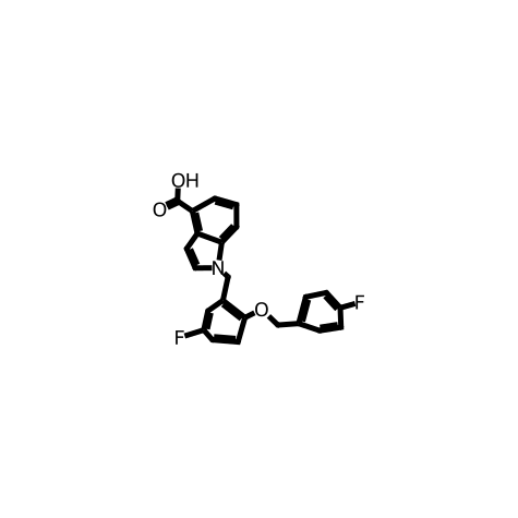 O=C(O)c1cccc2c1ccn2Cc1cc(F)ccc1OCc1ccc(F)cc1